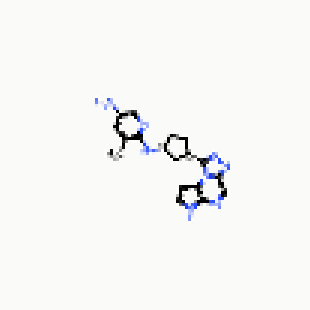 Cc1cc(N)cnc1N[C@H]1CC[C@@H](c2nnc3cnc4[nH]ccc4n23)C1